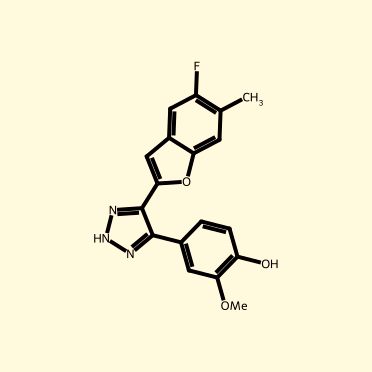 COc1cc(-c2n[nH]nc2-c2cc3cc(F)c(C)cc3o2)ccc1O